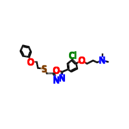 CN(C)CCCOc1ccc(-c2nnc(CSCCOc3ccccc3)o2)cc1Cl